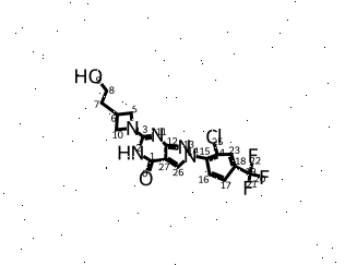 O=c1[nH]c(N2CC(CCO)C2)nc2nn(-c3ccc(C(F)(F)F)cc3Cl)cc12